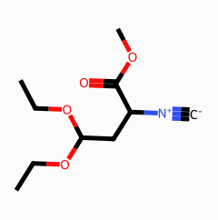 [C-]#[N+]C(CC(OCC)OCC)C(=O)OC